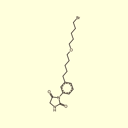 O=C1CNC(=O)N1c1cccc(CCCCCOCCCCCBr)c1